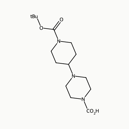 CC(C)(C)OC(=O)N1CCC(N2CCN(C(=O)O)CC2)CC1